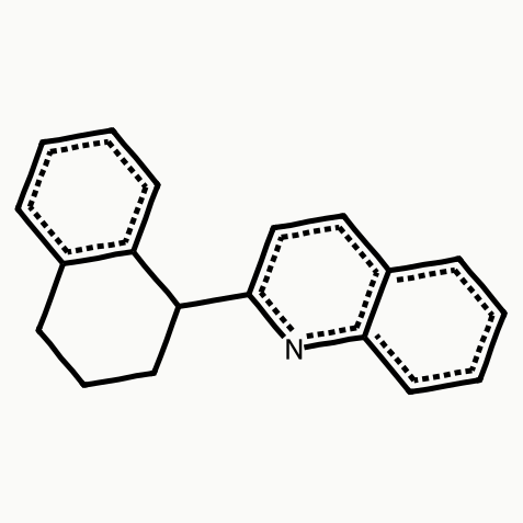 c1ccc2c(c1)CCCC2c1ccc2ccccc2n1